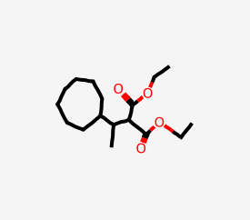 CCOC(=O)C(C(=O)OCC)C(C)C1CCCCCCC1